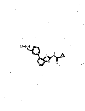 CCNCc1cccc(-c2cncc3nc(NC(=O)C4CC4)sc23)c1